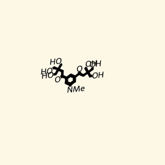 CNc1cc(C(=O)CC(CO)(CO)CO)cc(C(=O)CC(CO)(CO)CO)c1